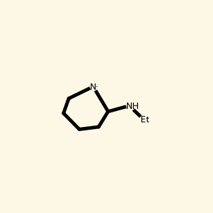 CCNC1CCCC[N]1